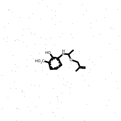 C=C(C)COC(C)Nc1cccc(C(=O)O)c1O